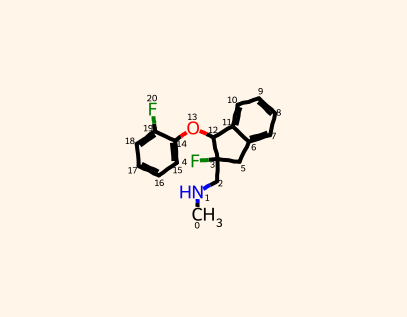 CNCC1(F)Cc2ccccc2C1Oc1ccccc1F